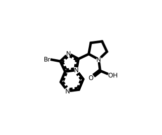 O=C(O)N1CCCC1c1nc(Br)c2cnccn12